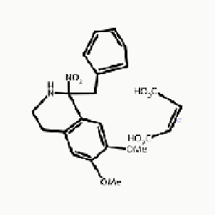 COc1cc2c(cc1OC)C(Cc1ccccc1)([N+](=O)[O-])NCC2.O=C(O)/C=C\C(=O)O